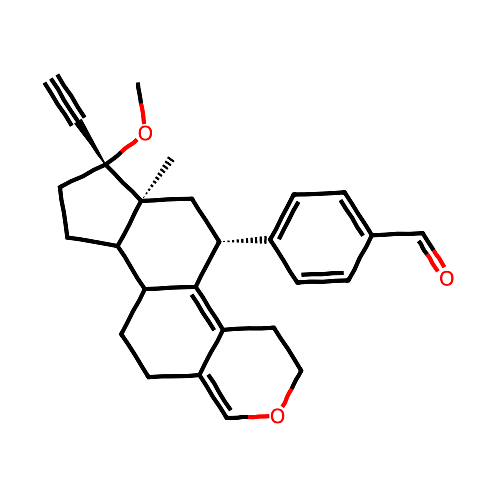 C#C[C@]1(OC)CCC2C3CCC4=COCCC4=C3[C@@H](c3ccc(C=O)cc3)C[C@@]21C